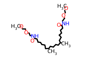 COCCOCCNC(=O)CCCCCCC(C)CCCCC(C)CCCCCCC(=O)NCCOCCOC